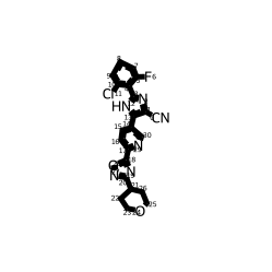 N#Cc1nc(-c2c(F)cccc2Cl)[nH]c1-c1ccc(-c2nc(C3CCOCC3)no2)nc1